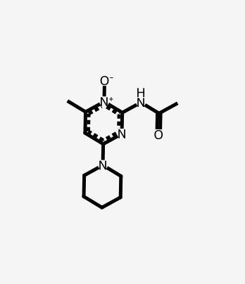 CC(=O)Nc1nc(N2CCCCC2)cc(C)[n+]1[O-]